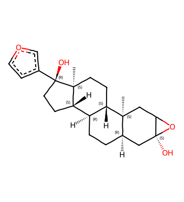 C[C@]12CC3O[C@@]3(O)C[C@H]1CC[C@@H]1[C@@H]2CC[C@@]2(C)[C@H]1CC[C@]2(O)c1ccoc1